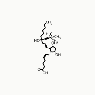 CCCCCCC(O)(C#C[Si](C)(C)C)C/C=C/[C@@H]1[C@@H](C/C=C\CCCC(=O)O)[C@@H](O)C[C@H]1O